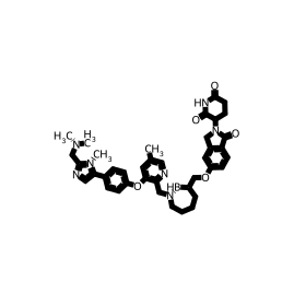 Cc1cnc(CN2BC(COc3ccc4c(c3)CN(C3CCC(=O)NC3=O)C4=O)CCCC2)c(Oc2ccc(-c3cnc(CN(C)C)n3C)cc2)c1